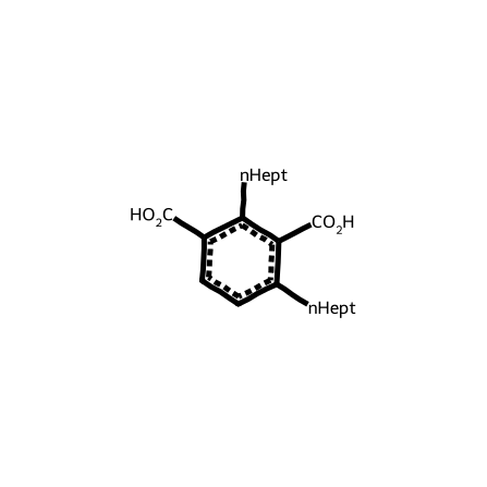 CCCCCCCc1ccc(C(=O)O)c(CCCCCCC)c1C(=O)O